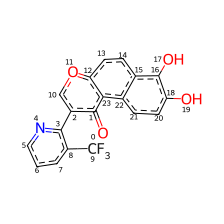 O=c1c(-c2ncccc2C(F)(F)F)coc2ccc3c(O)c(O)ccc3c12